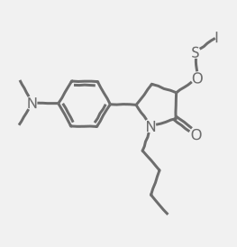 CCCCN1C(=O)C(OSI)CC1c1ccc(N(C)C)cc1